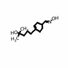 CC(C)(O)CCCC1=CCC(/C=N/O)CC1